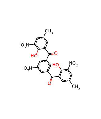 Cc1cc(C(=O)c2cc(C(=O)c3cc(C)cc([N+](=O)[O-])c3O)cc([N+](=O)[O-])c2)c(O)c([N+](=O)[O-])c1